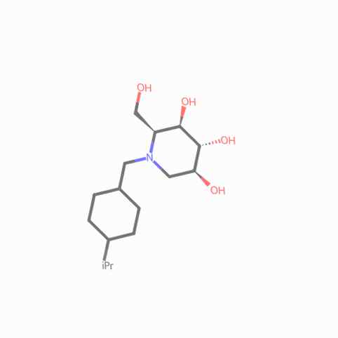 CC(C)C1CCC(CN2C[C@H](O)[C@@H](O)[C@H](O)[C@@H]2CO)CC1